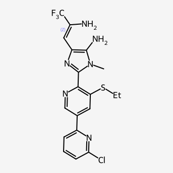 CCSc1cc(-c2cccc(Cl)n2)cnc1-c1nc(/C=C(\N)C(F)(F)F)c(N)n1C